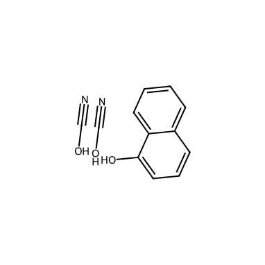 N#CO.N#CO.Oc1cccc2ccccc12